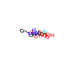 CC(=O)N[C@@H](Cc1ccc(C(F)(F)P(=O)(O)O)cc1)C(=O)N[C@H]1CCCCN(CCCC2CCCCC2)C1=O